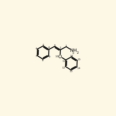 NCC(=Cc1ccccc1)Oc1ccccc1